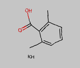 Cc1cccc(C)c1C(=O)O.[KH]